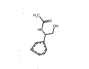 CC(=O)NC(CO)c1ccccc1